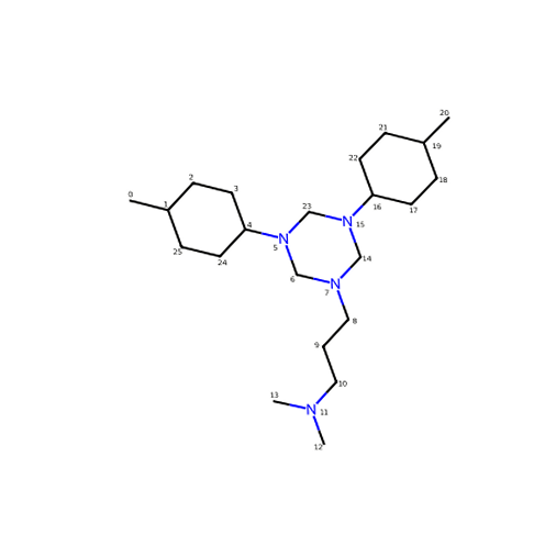 CC1CCC(N2CN(CCCN(C)C)CN(C3CCC(C)CC3)C2)CC1